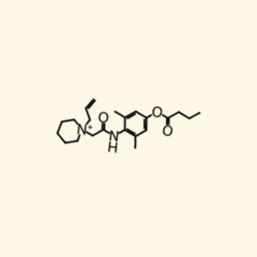 C=CC[N+]1(CC(=O)Nc2c(C)cc(OC(=O)CCC)cc2C)CCCCC1